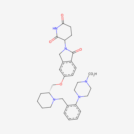 O=C1CCC(N2Cc3cc(OC[C@H]4CCCCN4Cc4ccccc4N4CCN(C(=O)O)CC4)ccc3C2=O)C(=O)N1